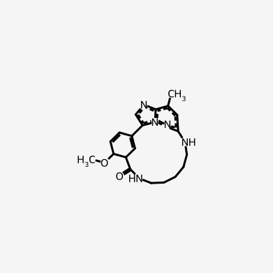 COC1C=CC2=CC1C(=O)NCCCCCNc1cc(C)c3ncc2n3n1